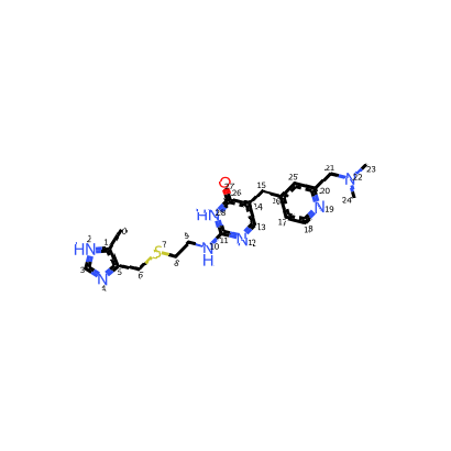 Cc1[nH]cnc1CSCCNc1ncc(Cc2ccnc(CN(C)C)c2)c(=O)[nH]1